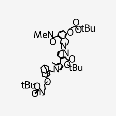 CNC(=O)c1ccc(OCC(=O)OC(C)(C)C)c2c1CN(c1ccc(-c3ccn(CC45CC6CC(C4)CC(OCCN(C)C(=O)OC(C)(C)C)(C6)C5)c3C)c(C(=O)OC(C)(C)C)n1)CC2